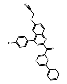 C#CCOc1ccc2nc(C(=O)C3=COC=C(C4=CC=CCC4)O3)nc(-c3ccc(C(C)C)cc3)c2c1